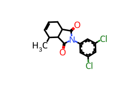 CC1C=CCC2C(=O)N(c3cc(Cl)cc(Cl)c3)C(=O)C12